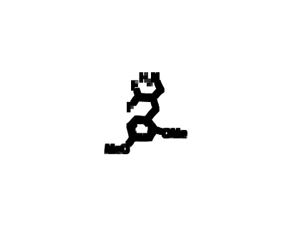 COc1ccc(CC(CN)=C(F)F)c(OC)c1